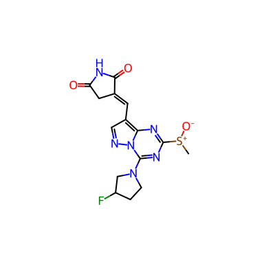 C[S+]([O-])c1nc(N2CCC(F)C2)n2ncc(C=C3CC(=O)NC3=O)c2n1